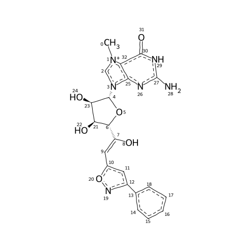 C[n+]1cn([C@@H]2O[C@H](C(O)=Cc3cc(-c4ccccc4)no3)[C@@H](O)[C@H]2O)c2nc(N)[nH]c(=O)c21